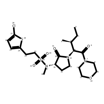 CC[C@H](C)[C@@H](C(=O)N1CCOCC1)N1CC[C@H](N(C)S(=O)(=O)CCc2ccc(Cl)s2)C1=O